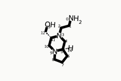 NCCN1C[C@H]2CCCN2C[C@@H]1CO